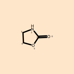 O=C1N[CH]CO1